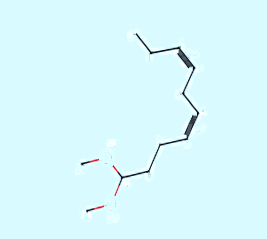 CC/C=C\C/C=C\CCC(OC)OC